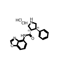 Cl.Cl.O=C(Nc1cccc2ocnc12)[C@@H]1CNC[C@H]1c1ccccc1